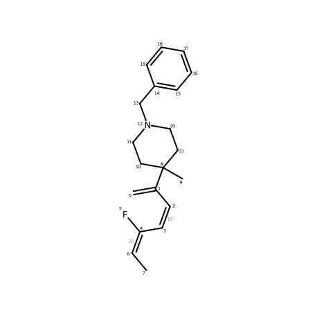 C=C(/C=C\C(F)=C/C)C1(C)CCN(Cc2ccccc2)CC1